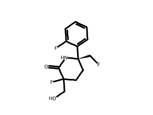 O=C1N[C@](CF)(c2ccccc2F)CCC1(F)CO